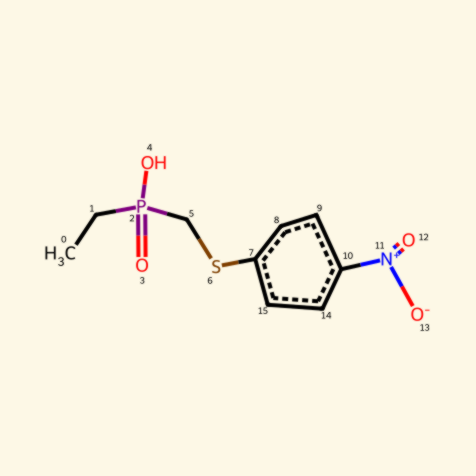 CCP(=O)(O)CSc1ccc([N+](=O)[O-])cc1